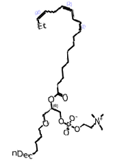 CC/C=C\C/C=C\C/C=C\CCCCCCCC(=O)O[C@H](COCCCCCCCCCCCCCC)COP(=O)([O-])OCC[N+](C)(C)C